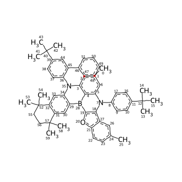 Cc1cc2c3c(c1)N(c1ccc(C(C)(C)C)cc1)c1c(oc4ccc(C)cc14)B3c1cc3c(cc1N2c1ccc(C(C)(C)C)cc1-c1ccccc1)C(C)(C)CCC3(C)C